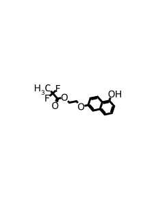 CC(F)(F)C(=O)OCCOc1ccc2c(O)cccc2c1